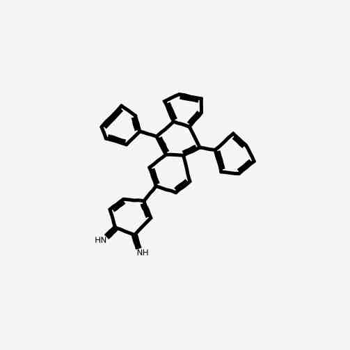 N=C1C=CC(c2ccc3c(-c4ccccc4)c4ccccc4c(-c4ccccc4)c3c2)=CC1=N